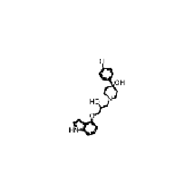 O[C@H](COc1cccc2[nH]ccc12)CN1CCC(O)(c2ccc(Cl)cc2)CC1